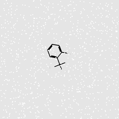 CCCCC(C)(CC)c1ccccc1Br